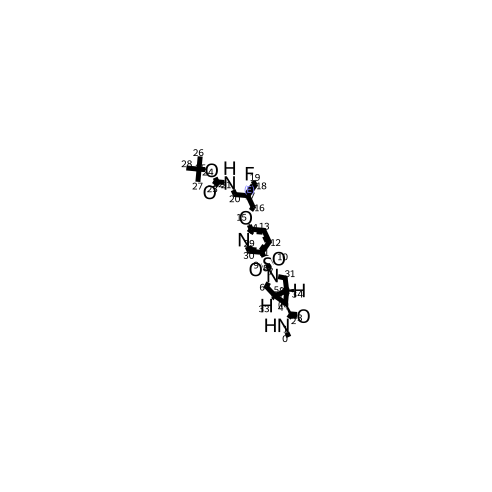 CNC(=O)[C@H]1[C@@H]2CN(S(=O)(=O)c3ccc(OC/C(=C/F)CNC(=O)OC(C)(C)C)nc3)C[C@@H]21